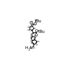 CC(C)(C)OC(=O)[C@@H](Cc1cc2cc(CN)ccc2s1)[C@H]1CCN(C(=O)OC(C)(C)C)C1